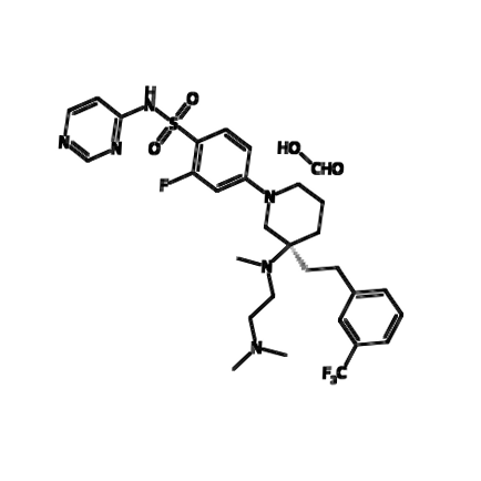 CN(C)CCN(C)[C@]1(CCc2cccc(C(F)(F)F)c2)CCCN(c2ccc(S(=O)(=O)Nc3ccncn3)c(F)c2)C1.O=CO